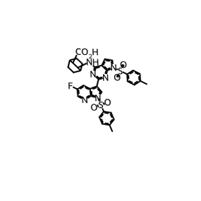 Cc1ccc(S(=O)(=O)n2cc(-c3nc(NC4C5CCC(CC5)C4C(=O)O)c4ccn(S(=O)(=O)c5ccc(C)cc5)c4n3)c3cc(F)cnc32)cc1